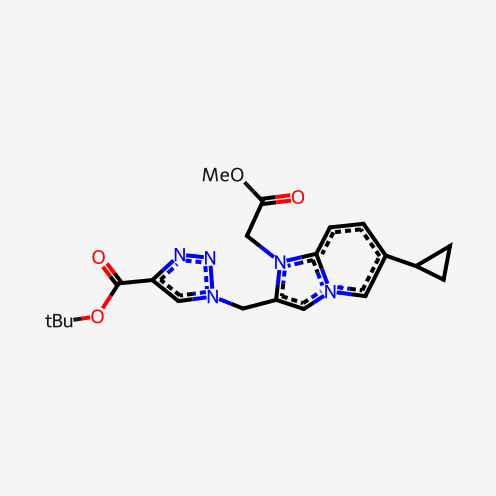 COC(=O)Cn1c(Cn2cc(C(=O)OC(C)(C)C)nn2)c[n+]2cc(C3CC3)ccc12